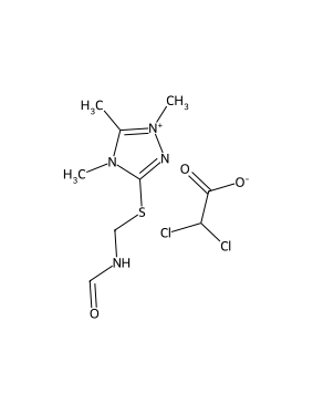 Cc1n(C)c(SCNC=O)n[n+]1C.O=C([O-])C(Cl)Cl